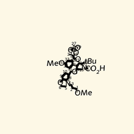 COCCCN1CCOc2ccc(CO[C@H]3CN(C(=O)O)C(C(C)(C)C)[C@@H](OC[C@@H](C)OS(C)(=O)=O)[C@@H]3c3ccc(OC)cc3)cc21